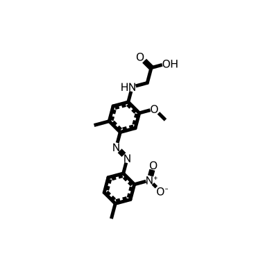 COc1cc(/N=N/c2ccc(C)cc2[N+](=O)[O-])c(C)cc1NCC(=O)O